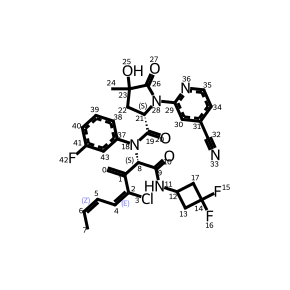 C=C(/C(Cl)=C\C=C/C)[C@@H](C(=O)NC1CC(F)(F)C1)N(C(=O)[C@@H]1CC(C)(O)C(=O)N1c1cc(C#N)ccn1)c1cccc(F)c1